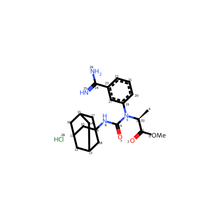 COC(=O)[C@H](C)N(C(=O)NC12CC3CC(CC(C3)C1)C2)c1cccc(C(=N)N)c1.Cl